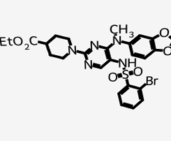 CCOC(=O)C1CCN(c2ncc(NS(=O)(=O)c3ccccc3Br)c(N(C)c3ccc4c(c3)OCO4)n2)CC1